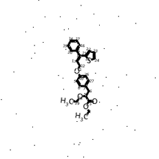 CCOC(=O)C(Cc1ccc(OCC=C(c2ccccc2)c2cccs2)cc1)OCC